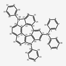 c1ccc(N(c2ccccc2)c2cc3c4c5c6c(ccc7c6c6c-3cccc6n7-c3ccccc3)ccc5n(-c3ccccc3)c4c2)cc1